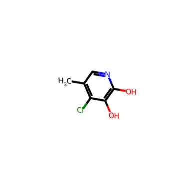 Cc1cnc(O)c(O)c1Cl